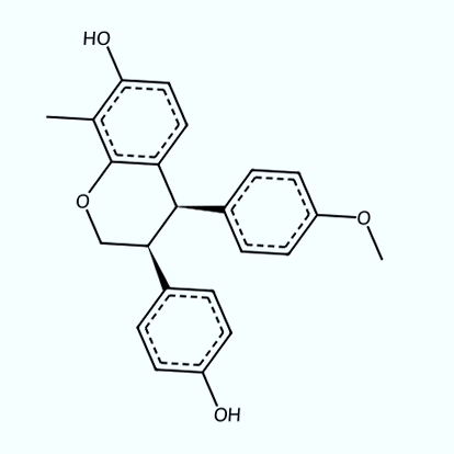 COc1ccc([C@@H]2c3ccc(O)c(C)c3OC[C@@H]2c2ccc(O)cc2)cc1